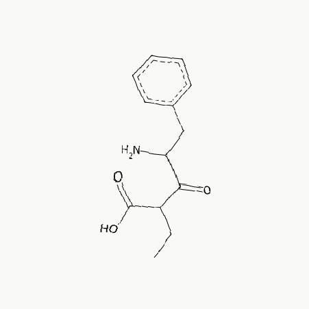 CCC(C(=O)O)C(=O)C(N)Cc1ccccc1